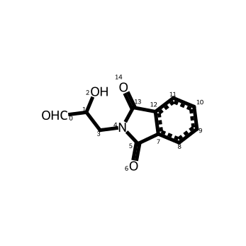 O=CC(O)CN1C(=O)c2ccccc2C1=O